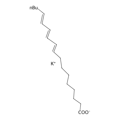 CCCCC=CC=CC=CCCCCCCCC(=O)[O-].[K+]